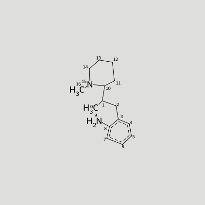 CC(Cc1ccccc1N)C1CCCCN1C